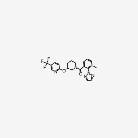 Cc1cccc(C(=O)N2CCCC(Oc3ccc(C(F)(F)F)cn3)C2)c1-n1nccn1